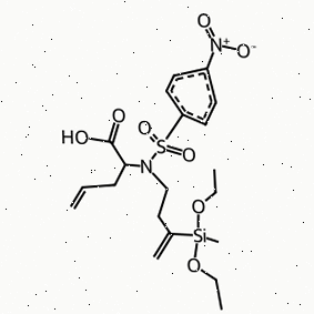 C=CCC(C(=O)O)N(CCC(=C)[Si](C)(OCC)OCC)S(=O)(=O)c1ccc([N+](=O)[O-])cc1